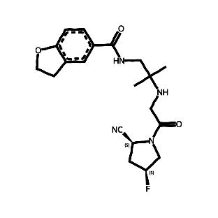 CC(C)(CNC(=O)c1ccc2c(c1)CCO2)NCC(=O)N1C[C@@H](F)C[C@H]1C#N